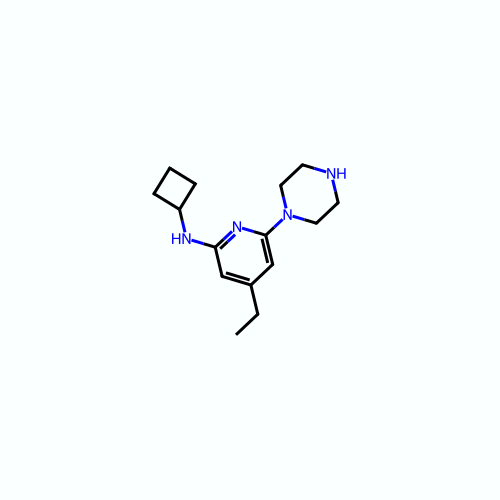 CCc1cc(NC2CCC2)nc(N2CCNCC2)c1